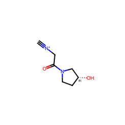 C#[N+]CC(=O)N1CC[C@@H](O)C1